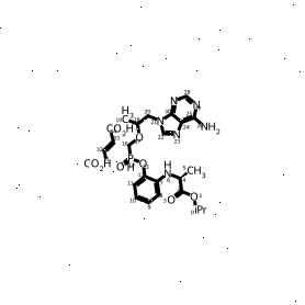 CC(C)OC(=O)[C@H](C)Nc1ccccc1O[PH](=O)COC(C)Cn1cnc2c(N)ncnc21.O=C(O)/C=C/C(=O)O